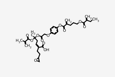 C=C(C)C(=O)OC(C)(CC=C(CCC1CO1)C(=O)O)OC(=O)COc1ccc(OC(=O)C(=C)CCCOC(=O)C(=C)CC)cc1